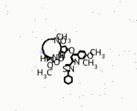 CCOC(=O)[C@@]12C[C@H]1/C=C\CCCCN(C)C(=O)C1C[C@H](Oc3cc(-c4csc(C5CCCCC5)n4)nc4c(C)c(OC)ccc34)C[C@H]1C(=O)N2